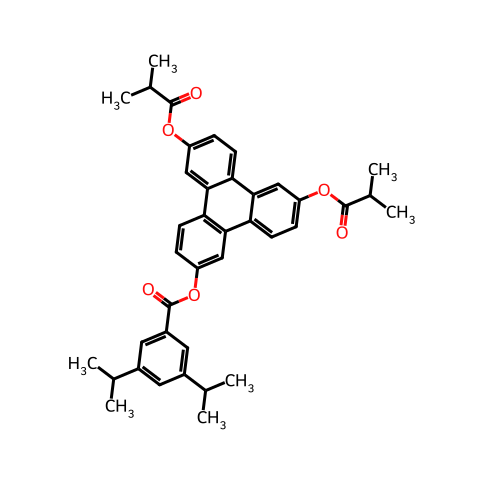 CC(C)C(=O)Oc1ccc2c(c1)c1ccc(OC(=O)c3cc(C(C)C)cc(C(C)C)c3)cc1c1ccc(OC(=O)C(C)C)cc12